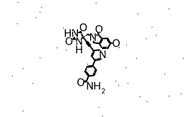 COc1ccc2c(c1)C(=O)N(C[C@@]1(C#Cc3cncc(-c4ccc(C(N)=O)cc4)c3)NC(=O)NC1=O)C2